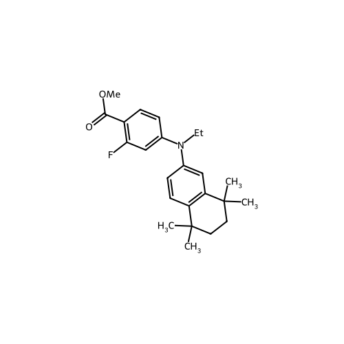 CCN(c1ccc(C(=O)OC)c(F)c1)c1ccc2c(c1)C(C)(C)CCC2(C)C